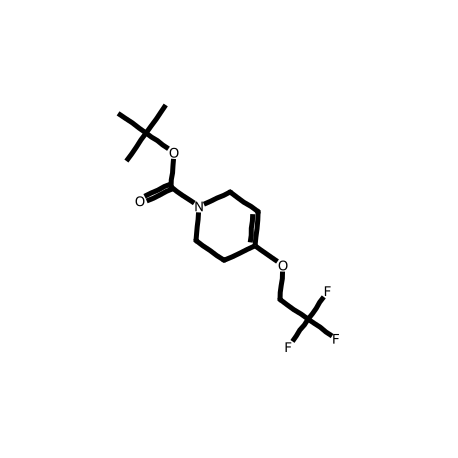 CC(C)(C)OC(=O)N1CC=C(OCC(F)(F)F)CC1